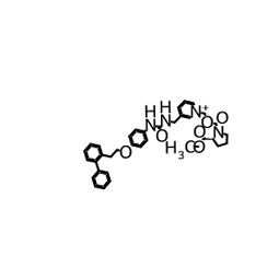 COC(=O)[C@@H]1CCCN1C(=O)OC[n+]1cccc(CNC(=O)Nc2ccc(OCCc3ccccc3-c3ccccc3)cc2)c1